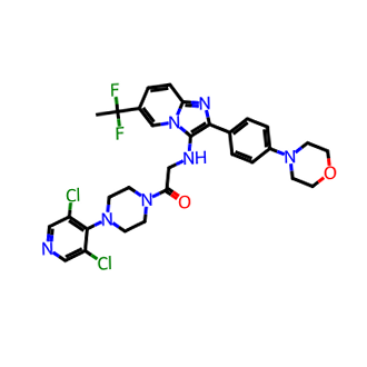 CC(F)(F)c1ccc2nc(-c3ccc(N4CCOCC4)cc3)c(NCC(=O)N3CCN(c4c(Cl)cncc4Cl)CC3)n2c1